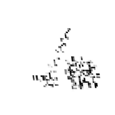 CCCCCCCCCCCCCCc1ccccc1[NH3+].Fc1c(F)c(F)c([B-](c2c(F)c(F)c(F)c(F)c2F)(c2c(F)c(F)c(F)c(F)c2F)c2c(F)c(F)c(F)c(F)c2F)c(F)c1F